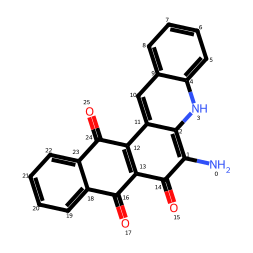 Nc1c2[nH]c3ccccc3cc-2c2c(c1=O)C(=O)c1ccccc1C2=O